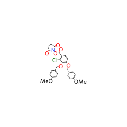 COc1ccc(COc2ccc(C(=O)ON3C(=O)CCC3=O)c(Cl)c2OCc2ccc(OC)cc2)cc1